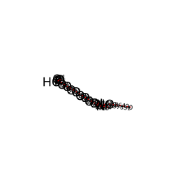 CCCCCCCCCCCCOc1ccc(Cn2cc(COCCOCCOCCOCCOCCOCCOCCOCCP(=O)(O)OCC)nn2)cc1